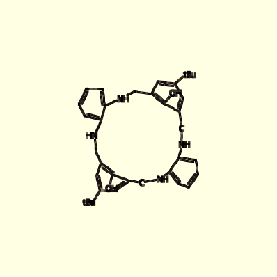 CC(C)(C)c1cc2c(O)c(c1)CNc1ccccc1NCc1cc(C(C)(C)C)cc(c1O)CNc1ccccc1NC2